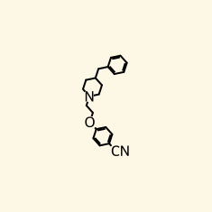 N#Cc1ccc(OCCN2CCC(Cc3ccccc3)CC2)cc1